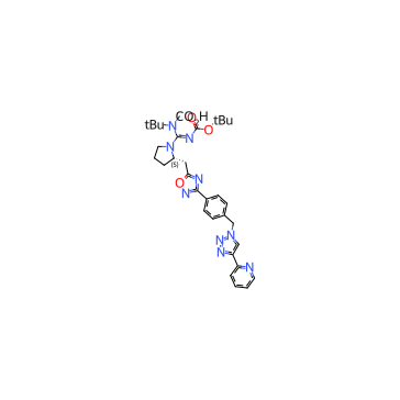 CC(C)(C)OC(=O)N=C(N1CCC[C@H]1Cc1nc(-c2ccc(Cn3cc(-c4ccccn4)nn3)cc2)no1)N(C(=O)O)C(C)(C)C